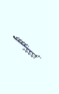 CC(C)=CCC/C(C)=C/C=C/C(C)=C/C=C/C(C)=C/C=C/C=C(C)/C=C/C=C(C)/C=C/C=C(\C)CC/C=C(\C)CC#N